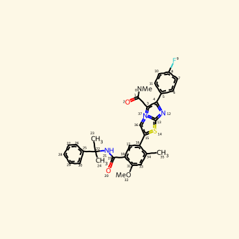 CNC(=O)c1c(-c2ccc(F)cc2)nc2sc(-c3cc(C(=O)NC(C)(C)c4ccccc4)c(OC)cc3C)cn12